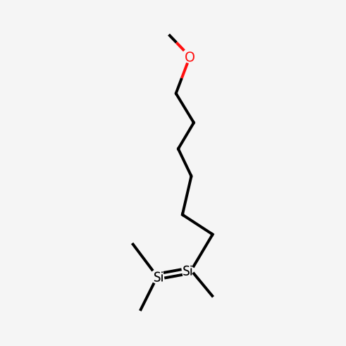 COCCCCCC[Si](C)=[Si](C)C